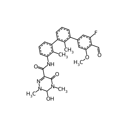 COc1cc(-c2cccc(-c3cccc(NC(=O)C4=NN(C)C(O)N(C)C4=O)c3C)c2C)cc(F)c1C=O